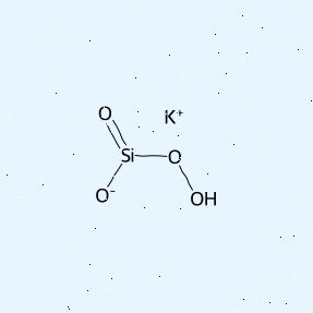 O=[Si]([O-])OO.[K+]